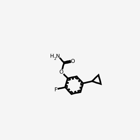 NC(=O)Oc1cc(C2CC2)ccc1F